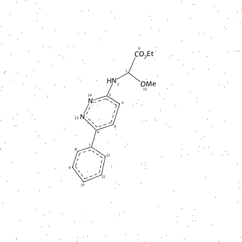 CCOC(=O)C(Nc1ccc(-c2ccccc2)nn1)OC